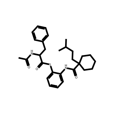 CC(=O)NC(Cc1ccccc1)C(=O)Sc1ccccc1NC(=O)C1(CCC(C)C)CCCCC1